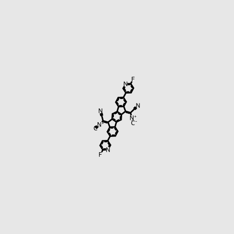 [C-]#[N+]/C(C#N)=C1/c2cc(-c3ccc(F)nc3)ccc2-c2cc3c(cc21)-c1ccc(-c2ccc(F)nc2)cc1/C3=C(/C#N)[N+]#[C-]